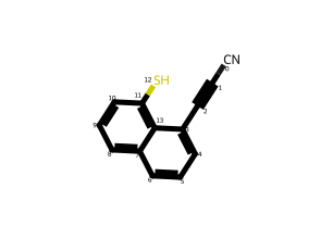 N#CC#Cc1cccc2cccc(S)c12